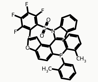 Cc1ccccc1P(c1ccccc1C)c1ccc2occc2c1-c1nc2ccccc2n1S(=O)(=O)c1c(F)c(F)c(F)c(F)c1F